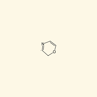 [C]1=NC=COC1